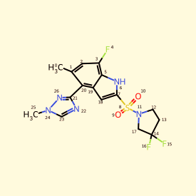 Cc1cc(F)c2[nH]c(S(=O)(=O)N3CCC(F)(F)C3)cc2c1-c1ncn(C)n1